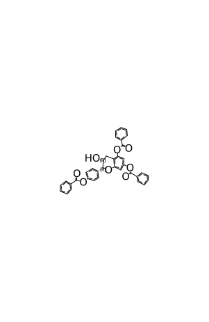 O=C(Oc1ccc([C@H]2Oc3cc(OC(=O)c4ccccc4)cc(OC(=O)c4ccccc4)c3C[C@H]2O)cc1)c1ccccc1